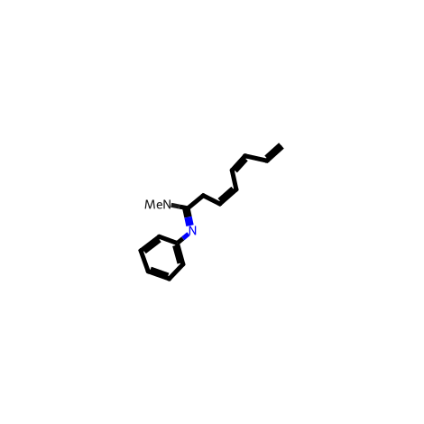 C=C/C=C\C=C/C/C(=N/c1ccccc1)NC